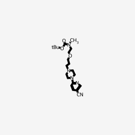 CN(CCOCCCN1CCN(c2ccc(C#N)cn2)CC1)C(=O)OC(C)(C)C